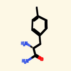 Cc1ccc(C[C@@H](N)C(N)=O)cc1